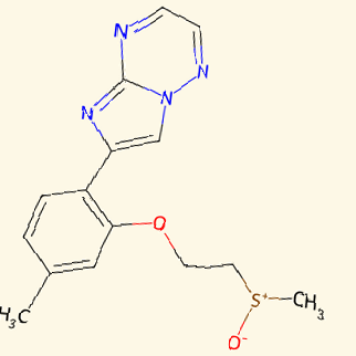 Cc1ccc(-c2cn3nccnc3n2)c(OCC[S+](C)[O-])c1